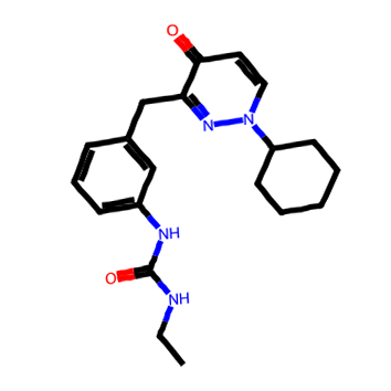 CCNC(=O)Nc1cccc(Cc2nn(C3CCCCC3)ccc2=O)c1